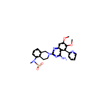 COc1cc2nc(N3CCc4c(cccc4N(C)[SH](=O)=O)C3)nc(N)c2c(-c2ccccn2)c1OC